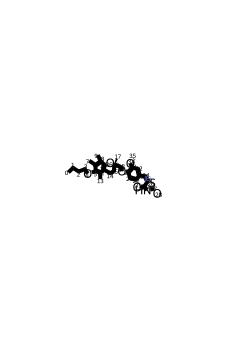 CCCCOc1c(C)c(C)c2c(c1C)CC[C@@](C)(COc1ccc(/C=C3/SC(=O)NC3=O)cc1OC)O2